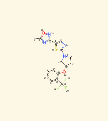 Cc1nc(-c2cnc(N3CCC(Oc4ccccc4C(F)(F)F)C3)s2)no1